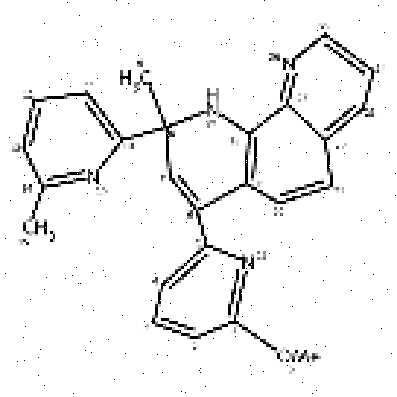 COc1cccc(C2=CC(C)(c3cccc(C)n3)Nc3c2ccc2cccnc32)n1